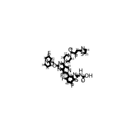 O=C(O)Nc1nc2c(-c3ncc4c(N5CCN(C(=O)/C(F)=C/c6nccs6)CC5)nc(OC[C@@]56CCCN5C[C@H](F)C6)nc4c3F)c(F)cc(F)c2s1